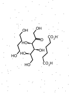 O=C(CO)[C@H](O)[C@@H](O)[C@H](O)CO.O=C(O)CCCCC(=O)O.OCCCCO